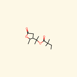 CCC(C)(C)C(=O)OC(C)(C)C1CC(=O)OC1C